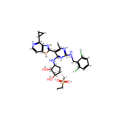 CCS(=O)(=O)C[C@H]1CC(Nc2nc(NCc3c(F)cccc3F)nc(C)c2-c2nc3c(C4CC4)nccc3s2)[C@H](O)[C@@H]1O